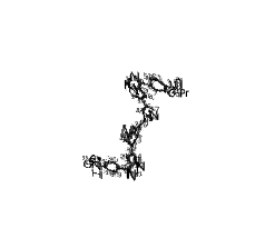 CC(C)S(=O)(=O)Nc1ccc(-c2ncnn3cc(-c4cnn(CCn5cc(-c6cc7c(-c8ccc(NS(C)(=O)=O)cc8)ncnn7c6)cn5)c4)cc23)cc1